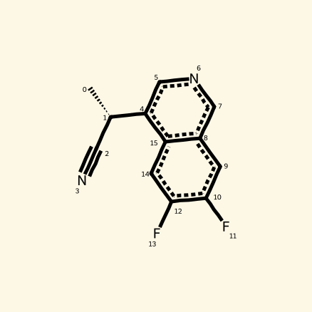 C[C@@H](C#N)c1cncc2cc(F)c(F)cc12